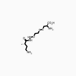 C[C@@H](CCN)C(=O)NNOCCSSC[C@H](N)C(=O)O